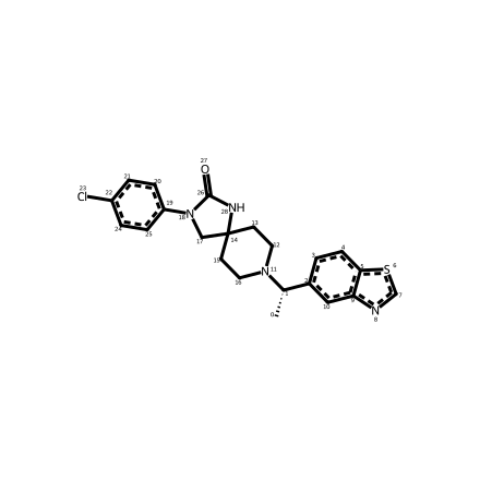 C[C@@H](c1ccc2scnc2c1)N1CCC2(CC1)CN(c1ccc(Cl)cc1)C(=O)N2